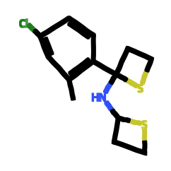 Cc1cc(Cl)ccc1C1(NC2CCS2)CCS1